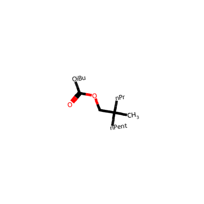 CCCCCC(C)(CCC)COC(=O)OCC(C)C